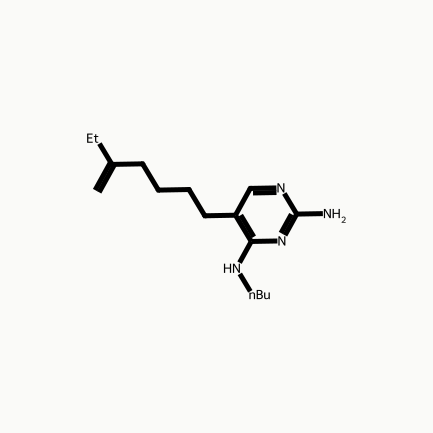 C=C(CC)CCCCc1cnc(N)nc1NCCCC